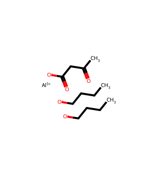 CC(=O)CC(=O)[O-].CCCC[O-].CCCC[O-].[Al+3]